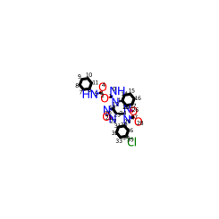 N=C(OC(=O)Nc1ccccc1)N(c1ccccc1)c1nonc1-c1noc(=O)n1-c1cccc(Cl)c1